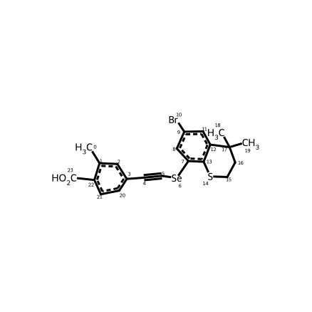 Cc1cc(C#C[Se]c2cc(Br)cc3c2SCCC3(C)C)ccc1C(=O)O